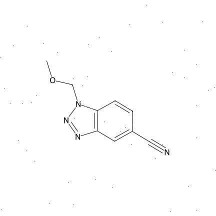 COCn1nnc2cc(C#N)ccc21